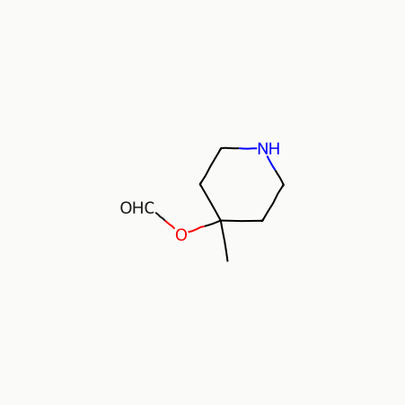 CC1(OC=O)CCNCC1